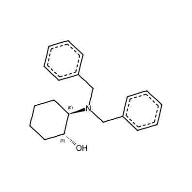 O[C@@H]1CCCC[C@H]1N(Cc1ccccc1)Cc1ccccc1